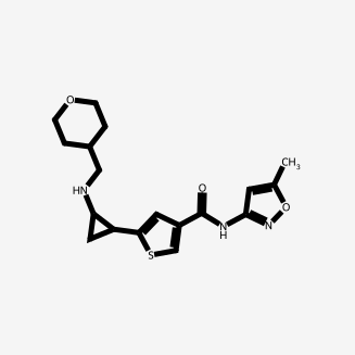 Cc1cc(NC(=O)c2csc(C3CC3NCC3CCOCC3)c2)no1